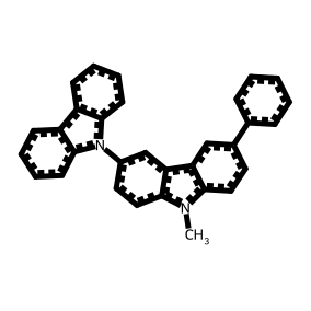 Cn1c2ccc(-c3ccccc3)cc2c2cc(-n3c4ccccc4c4ccccc43)ccc21